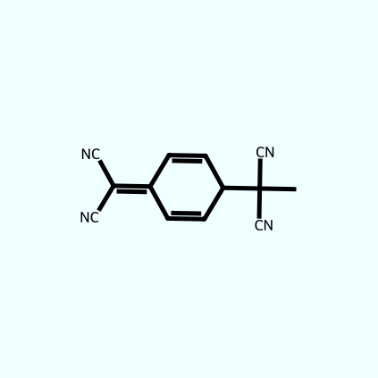 CC(C#N)(C#N)C1C=CC(=C(C#N)C#N)C=C1